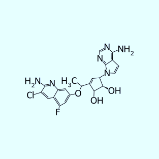 CC(Oc1cc(F)c2cc(Cl)c(N)nc2c1)C1=CC(n2ccc3c(N)ncnc32)[C@@H](O)C1O